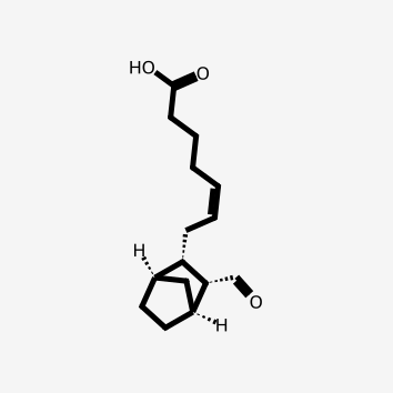 O=C[C@@H]1[C@H]2CC[C@H](C2)[C@@H]1C/C=C\CCCC(=O)O